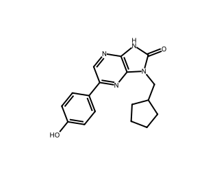 O=c1[nH]c2ncc(-c3ccc(O)cc3)nc2n1CC1CCCC1